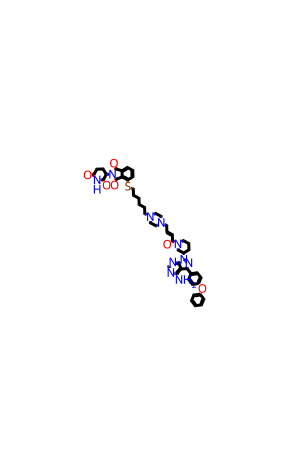 Nc1ncnc2c1c(-c1ccc(Oc3ccccc3)cc1)nn2[C@@H]1CCCN(C(=O)/C=C/CN2CCN(CCCCCCSc3cccc4c3C(=O)N(C3CCC(=O)NC3=O)C4=O)CC2)C1